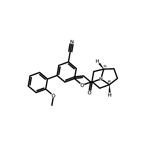 C=CC(=O)N1[C@@H]2CC[C@H]1CC(Oc1cc(C#N)cc(-c3ccccc3OC)c1)C2